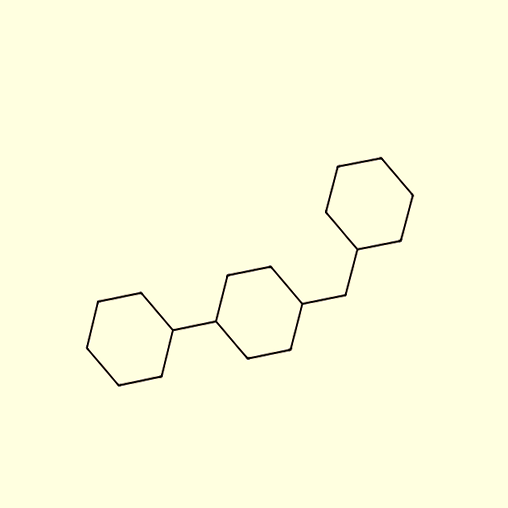 C1CCC(CC2CCC(C3CCCCC3)CC2)CC1